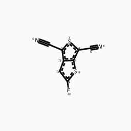 N#Cc1sc(C#N)c2sc(F)cc12